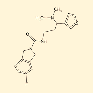 CN(C)C(CCNC(=O)N1Cc2ccc(F)cc2C1)c1ccsc1